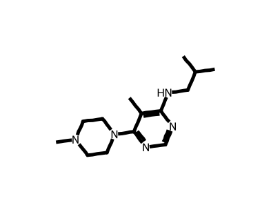 Cc1c(NCC(C)C)ncnc1N1CCN(C)CC1